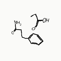 CCC(=O)O.NC(=O)CCc1ccccc1